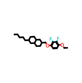 CCCCCC1CCC2CC(COc3ccc(OCC)c(F)c3F)CCC2C1